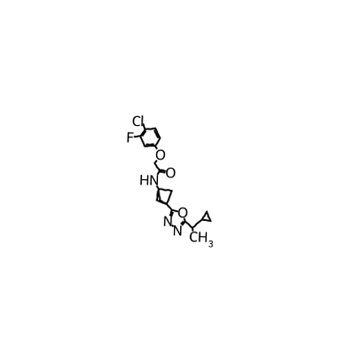 CC(c1nnc(C23CC(NC(=O)COc4ccc(Cl)c(F)c4)(C2)C3)o1)C1CC1